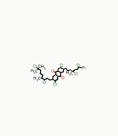 CC(C)C(Cl)CCC(C)(Cl)CCCC1CC2C(=O)C3CC(Cl)C(CCC(Cl)C(C)CCCC(C)(C)Cl)CC3C(=O)C2CC1Cl